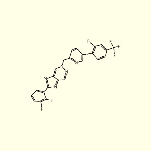 Fc1cc(C(F)(F)F)ccc1-c1ccc(Cn2cc3nc(-c4cccc(F)c4F)nc-3cn2)nc1